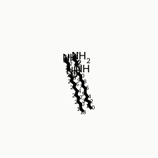 CCCCCCCCCCCC(=O)NCCCN.CCCCCCCCCCCCNCCCN